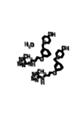 Cn1nnnc1NCCCOc1cccc(CN2CCC(O)CC2)c1.Cn1nnnc1NCCCOc1cccc(CN2CCC(O)CC2)c1.O